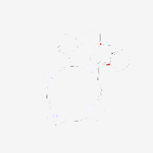 C1=Cc2cc3c(-c4ccccc4)c(-c4ccccc4)c(c(-c4ccccc4)c4nc(cc5ccc(cc1n2)[nH]5)C=C4)n3-c1ccccc1.[Cl-].[Cl-].[Cl-].[Co+3]